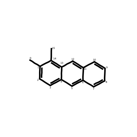 Cc1ccc2cc3ccccc3[c]c2c1C